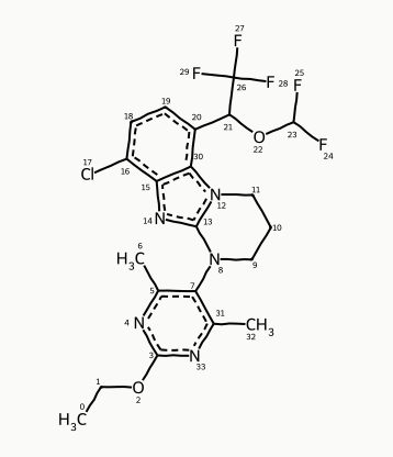 CCOc1nc(C)c(N2CCCn3c2nc2c(Cl)ccc(C(OC(F)F)C(F)(F)F)c23)c(C)n1